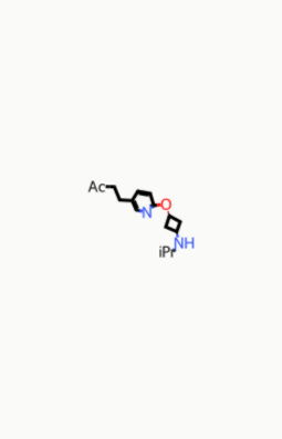 CC(=O)CCc1ccc(O[C@H]2C[C@H](NC(C)C)C2)nc1